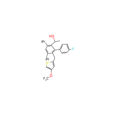 CC(C)c1cc(C(C)C)c(C(C)O)c(-c2ccc(F)cc2)c1Cc1cc(OC(F)(F)F)cs1